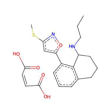 CCCNC1CCCc2cccc(-c3cc(SC)no3)c21.O=C(O)/C=C\C(=O)O